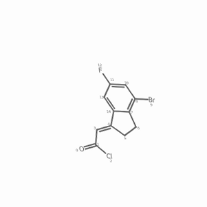 O=C(Cl)C=C1CCc2c(Br)cc(F)cc21